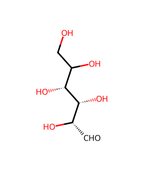 O=C[C@H](O)[C@@H](O)[C@H](O)C(O)CO